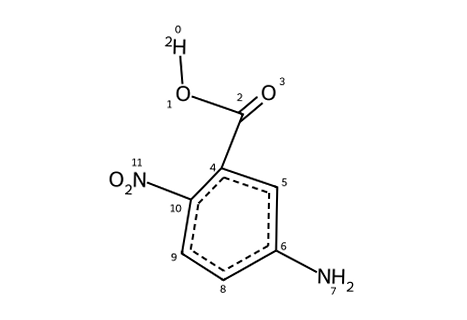 [2H]OC(=O)c1cc(N)ccc1[N+](=O)[O-]